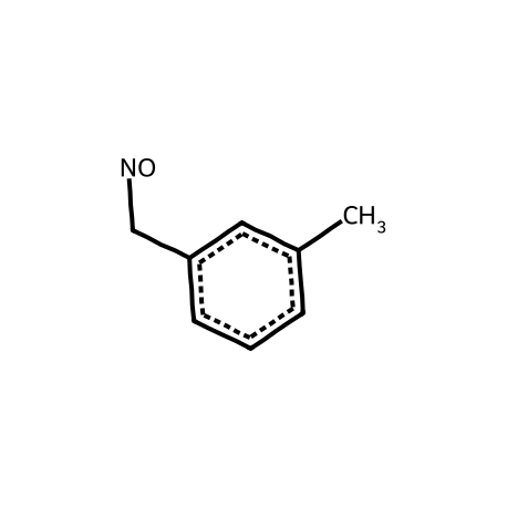 Cc1cccc(CN=O)c1